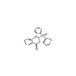 O=C1CC(P(=O)(c2ccccc2)c2ccccc2)Oc2ccccc21